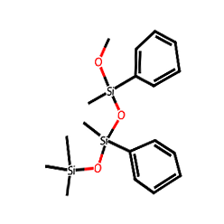 CO[Si](C)(O[Si](C)(O[Si](C)(C)C)c1ccccc1)c1ccccc1